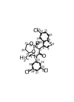 C=CN(C(=O)C(c1csc2ccc(Cl)cc12)P1(=O)OCCCO1)c1cc(Cl)cc(Cl)c1